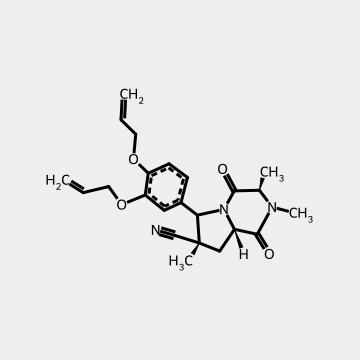 C=CCOc1ccc(C2N3C(=O)[C@@H](C)N(C)C(=O)[C@@H]3C[C@]2(C)C#N)cc1OCC=C